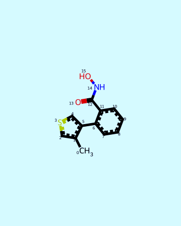 Cc1cscc1-c1ccccc1C(=O)NO